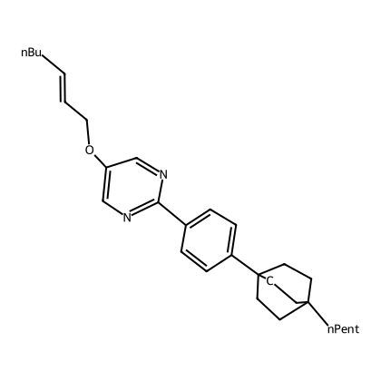 CCCCC=CCOc1cnc(-c2ccc(C34CCC(CCCCC)(CC3)CC4)cc2)nc1